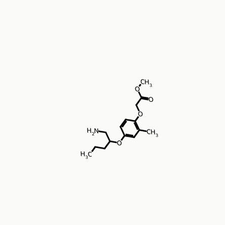 CCCC(CN)Oc1ccc(OCC(=O)OC)c(C)c1